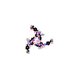 CC[C@@H](C(=O)N1C[C@H](O)C[C@H]1C(=O)NCc1ccc(-c2cnco2)cc1)c1cc(CO[C@@H]2C[C@@H](C(=O)N[C@@H](C)c3ccc(-c4cncs4)cc3)N(C(=O)[C@H](CC)c3cc(CO[C@@H]4C[C@@H](C(=O)N[C@@H](C)c5ccc(-c6ocnc6C)cc5)N(C(=O)[C@@H](c5cc(C)no5)C(C)C)C4)no3)C2)no1